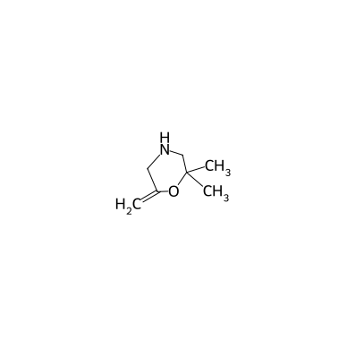 C=C1CNCC(C)(C)O1